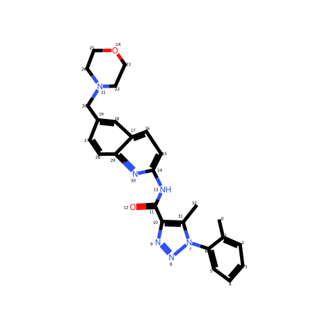 Cc1ccccc1-n1nnc(C(=O)Nc2ccc3cc(CN4CCOCC4)ccc3n2)c1C